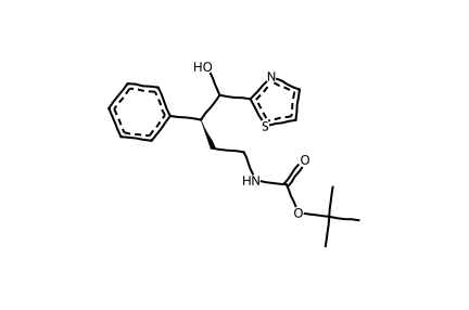 CC(C)(C)OC(=O)NCC[C@@H](c1ccccc1)C(O)c1nccs1